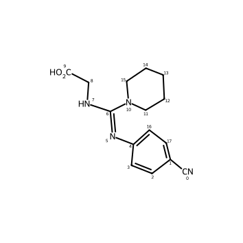 N#Cc1ccc(N=C(NCC(=O)O)N2CCCCC2)cc1